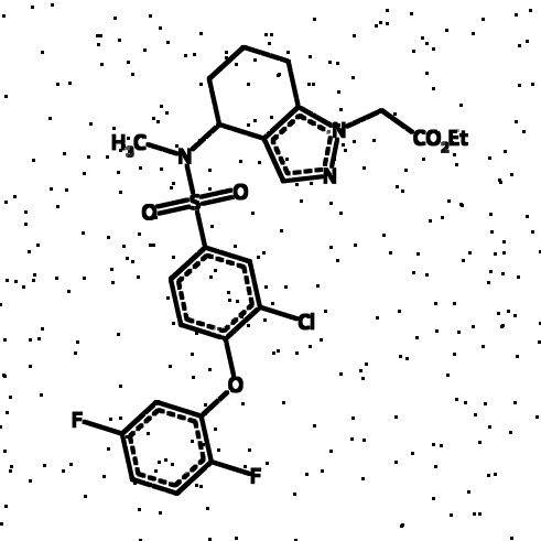 CCOC(=O)Cn1ncc2c1CCCC2N(C)S(=O)(=O)c1ccc(Oc2cc(F)ccc2F)c(Cl)c1